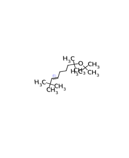 CC(C)(C)/C=C/CCCC(C)(C)OC(C)(C)C